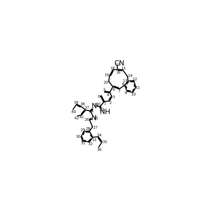 C=C(/C=C\C(=C)/C1=C/c2ccccc2C/C=C(C#N)\C=C/C1)C(=N)/N=C(\N=C\Cc1ccccc1/C=C\C)C(/C=C\C)=C/C